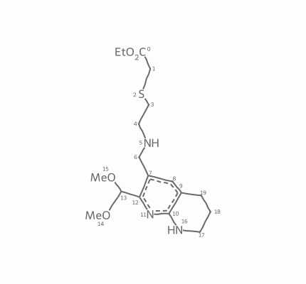 CCOC(=O)CSCCNCc1cc2c(nc1C(OC)OC)NCCC2